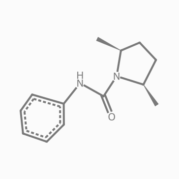 C[C@@H]1CC[C@H](C)N1C(=O)Nc1ccccc1